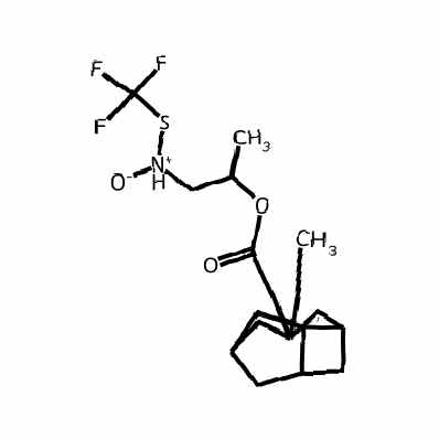 CC(C[NH+]([O-])SC(F)(F)F)OC(=O)C1(C)C=C2CC3CC(CC23)C1